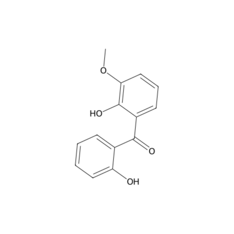 COc1cccc(C(=O)c2ccccc2O)c1O